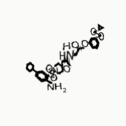 NCc1ccc(-c2ccccc2)cc1S(=O)(=O)N1CCC2(CC1)C[C@@H](NC[C@H](O)COc1cccc(S(=O)(=O)C3CC3)c1)CO2